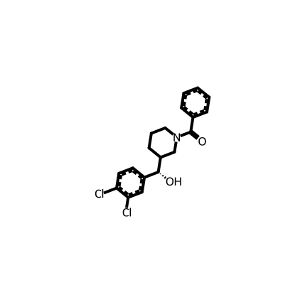 O=C(c1ccccc1)N1CCCC([C@H](O)c2ccc(Cl)c(Cl)c2)C1